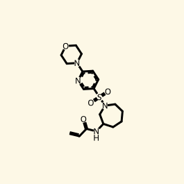 C=CC(=O)NC1CCCCN(S(=O)(=O)c2ccc(N3CCOCC3)nc2)C1